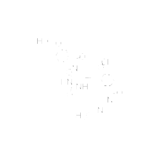 CCN1CCN(C(=O)c2ccc(OC)c(C#C[C@]3(CN4Cc5ccc(OC)cc5C4=O)NC(=O)NC3=O)c2)CC1